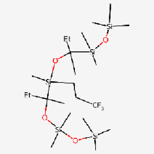 CCC(C)(O[Si](C)(CCC(F)(F)F)C(C)(CC)O[Si](C)(C)O[Si](C)(C)C)[Si](C)(C)O[Si](C)(C)C